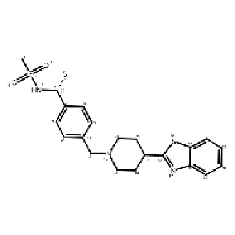 C[C@@H](NS(C)(=O)=O)c1ccc(CN2CCC(c3nc4ccccc4s3)CC2)cc1